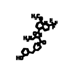 COc1ccc(-c2nc(C(=O)N3CCC(Cc4cccc(O)c4)CC3)c(CN)o2)c2ccc(C(F)(F)F)nc12